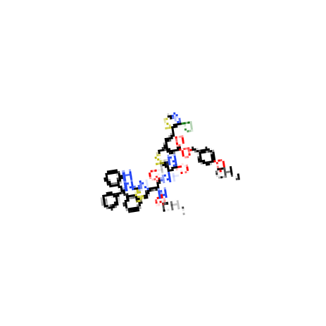 CON=C(C(=O)NC1C(=O)N2C(C(=O)OCc3ccc(OC)cc3)=C(C=Cc3scnc3Cl)CS[C@@H]12)c1csc(NC(c2ccccc2)(c2ccccc2)c2ccccc2)n1